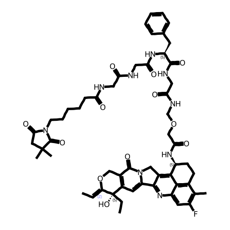 C/C=C1\OCc2c(cc3n(c2=O)Cc2c-3nc3cc(F)c(C)c4c3c2[C@@H](NC(=O)COCNC(=O)CNC(=O)[C@H](Cc2ccccc2)NC(=O)CNC(=O)CNC(=O)CCCCCN2C(=O)CC(C)(C)C2=O)CC4)[C@@]1(O)CC